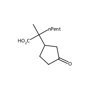 CCCCCC(C)(C(=O)O)C1CCC(=O)C1